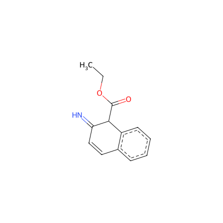 CCOC(=O)C1C(=N)C=Cc2ccccc21